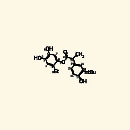 CCc1cc(O)c(O)cc1OC(=O)C(C)c1ccc(O)c(C(C)(C)C)c1